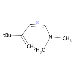 C=C(/C=C\N(C)C)C(C)(C)C